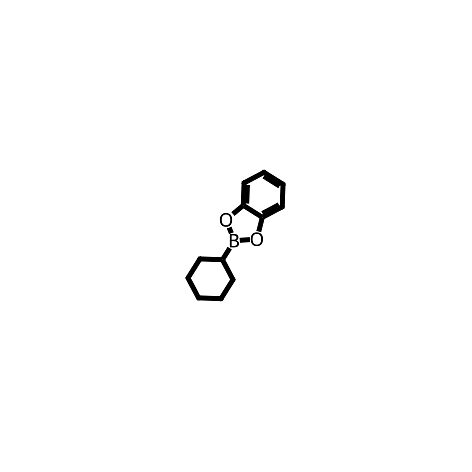 c1ccc2c(c1)OB(C1CCCCC1)O2